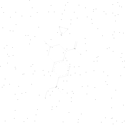 COC(=O)c1cc2c(cc1F)N(C(C)=O)[C@@H](C1CC1)C(C)C2